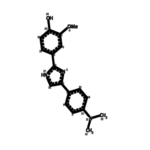 COc1cc(-c2nc(-c3ccc(N(C)C)cc3)c[nH]2)ccc1O